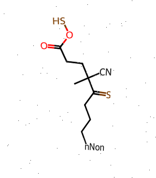 CCCCCCCCCCCCC(=S)C(C)(C#N)CCC(=O)OS